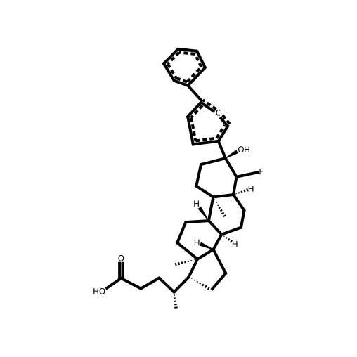 C[C@H](CCC(=O)O)[C@H]1CC[C@H]2[C@@H]3CC[C@@H]4C(F)[C@@](O)(c5ccc(-c6ccccc6)cc5)CC[C@]4(C)[C@H]3CC[C@]12C